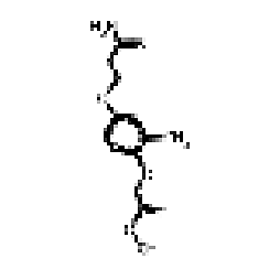 COC(=O)COc1ccc(OCCC(N)=S)cc1C